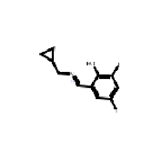 Oc1c(I)cc(I)cc1/C=N/CC1CC1